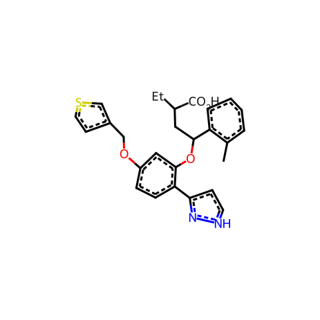 CCC(CC(Oc1cc(OCc2ccsc2)ccc1-c1cc[nH]n1)c1ccccc1C)C(=O)O